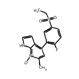 CCS(=O)(=O)c1ccc(F)c(-c2cc(C)[n+]([O-])c3[nH]ccc23)c1